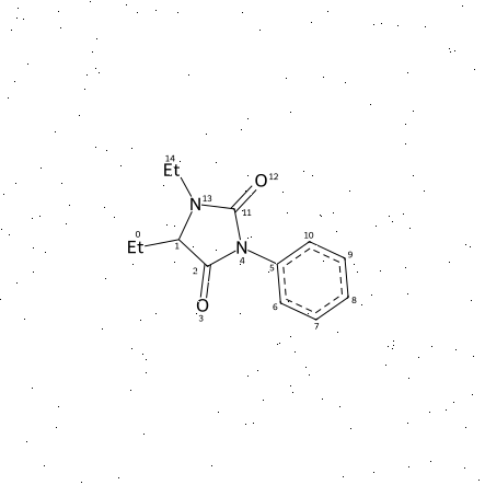 CCC1C(=O)N(c2ccccc2)C(=O)N1CC